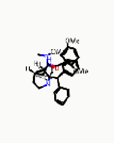 COc1ccc(OC)c(CN[C@H]2[C@H]3CCN(C[C@@H]3C(=O)N(C)OC)[C@H]2C(c2ccccc2)c2ccccc2)c1